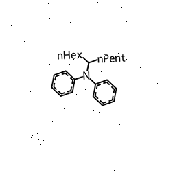 CCCCCCC(CCCCC)N(c1ccccc1)c1ccccc1